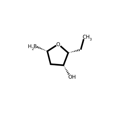 B[C@H]1C[C@@H](O)[C@@H](CC)O1